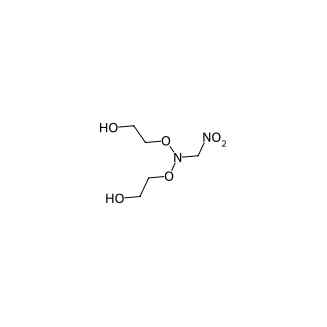 O=[N+]([O-])CN(OCCO)OCCO